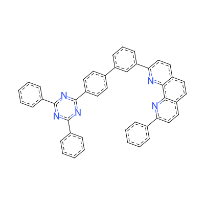 c1ccc(-c2ccc3ccc4ccc(-c5cccc(-c6ccc(-c7nc(-c8ccccc8)nc(-c8ccccc8)n7)cc6)c5)nc4c3n2)cc1